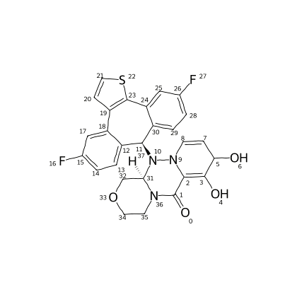 O=C1C2=C(O)C(O)C=CN2N([C@H]2c3ccc(F)cc3-c3ccsc3-c3cc(F)ccc32)[C@@H]2COCCN12